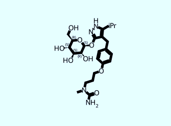 CC(C)c1[nH]nc(O[C@@H]2O[C@H](CO)[C@@H](O)[C@H](O)[C@H]2O)c1Cc1ccc(OCCCN(C)C(N)=O)cc1